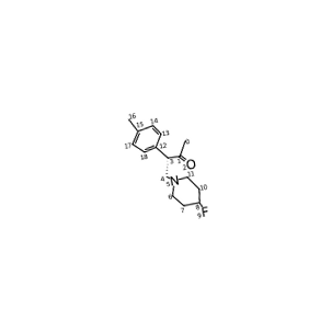 CC(=O)[C@H](CN1CCC(F)CC1)c1ccc(C)cc1